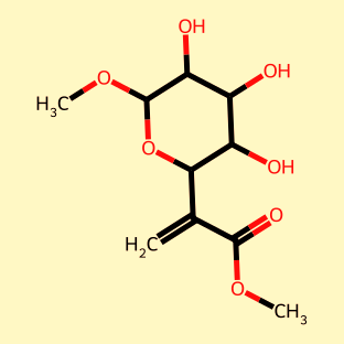 C=C(C(=O)OC)C1OC(OC)C(O)C(O)C1O